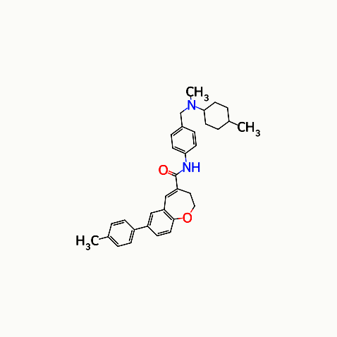 Cc1ccc(-c2ccc3c(c2)C=C(C(=O)Nc2ccc(CN(C)C4CCC(C)CC4)cc2)CCO3)cc1